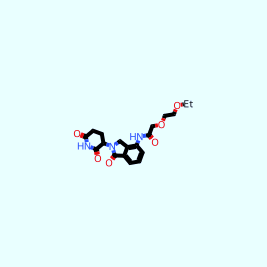 CCOCCOCC(=O)Nc1cccc2c1CN(C1CCC(=O)NC1=O)C2=O